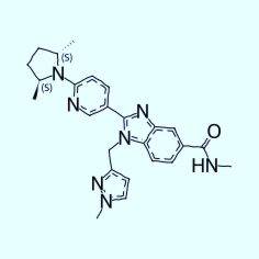 CNC(=O)c1ccc2c(c1)nc(-c1ccc(N3[C@@H](C)CC[C@@H]3C)nc1)n2Cc1ccn(C)n1